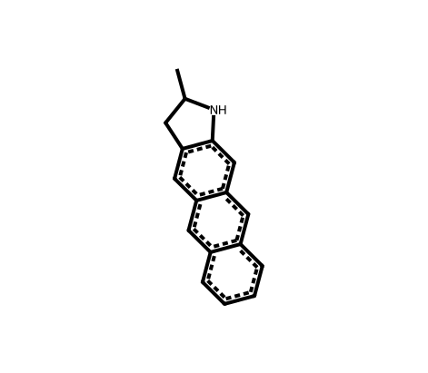 CC1Cc2cc3cc4ccccc4cc3cc2N1